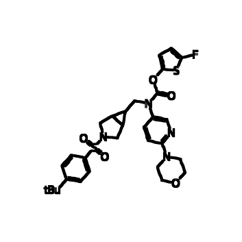 CC(C)(C)c1ccc(S(=O)(=O)N2CC3C(CN(C(=O)Oc4ccc(F)s4)c4ccc(N5CCOCC5)nc4)C3C2)cc1